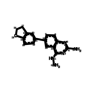 NNc1nc(N)nc2ccc(-c3ccc4c(c3)CCO4)cc12